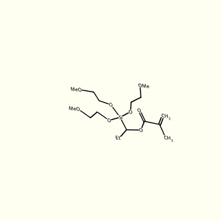 C=C(C)C(=O)OC(CC)[Si](OCCOC)(OCCOC)OCCOC